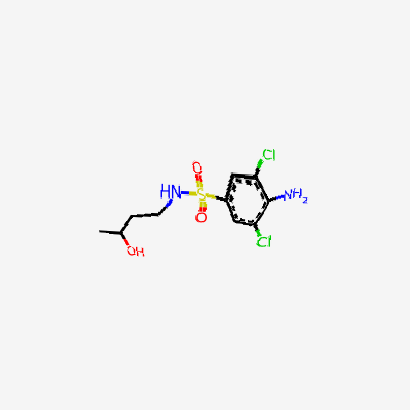 CC(O)CCNS(=O)(=O)c1cc(Cl)c(N)c(Cl)c1